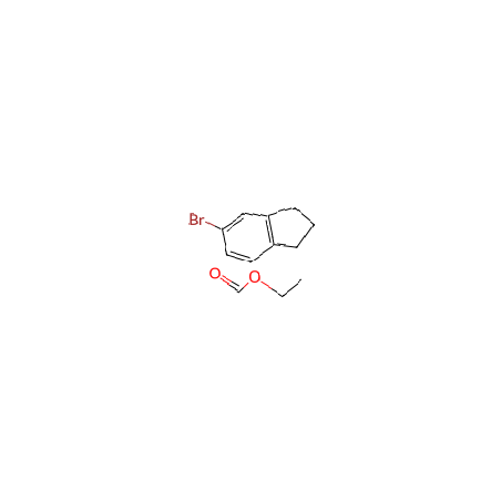 Brc1ccc2c(c1)CCC2.CCOC=O